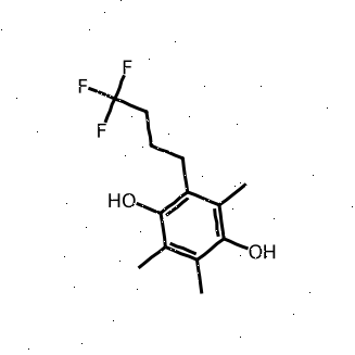 Cc1c(C)c(O)c(CCCC(F)(F)F)c(C)c1O